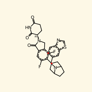 O=C1CC[C@@H](N2Cc3c(cc(F)c(C4CC5CCC(C4)N5Cc4ccc5ncsc5c4)c3F)C2=O)C(=O)N1